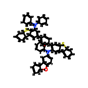 c1ccc(N(c2ccc3oc4ccccc4c3c2)c2cc3c(cc2-c2ccc(-c4cc(N(c5ccccc5)c5ccccc5)c5sc6ccccc6c5c4)cc2)sc2ccccc23)cc1